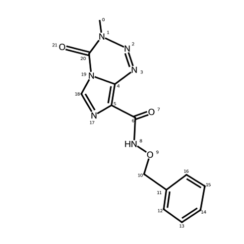 Cn1nnc2c(C(=O)NOCc3ccccc3)ncn2c1=O